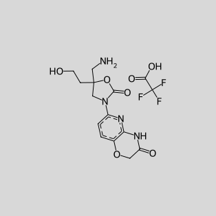 NCC1(CCO)CN(c2ccc3c(n2)NC(=O)CO3)C(=O)O1.O=C(O)C(F)(F)F